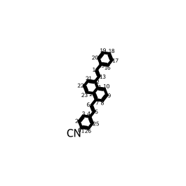 [C-]#[N+]c1ccc(C=Cc2cccc3c(C=Cc4ccccc4)cccc23)cc1